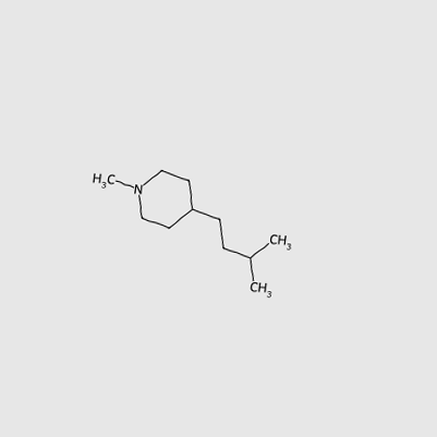 CC(C)CCC1CCN(C)CC1